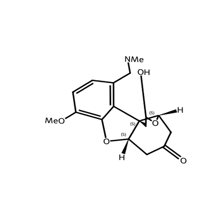 CNCc1ccc(OC)c2c1[C@]13CC(O)O[C@H]1CC(=O)C[C@@H]3O2